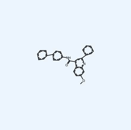 COc1ccc2c(C(=O)Nc3ccc(-c4ccccc4)cc3)cc(-c3ccccc3)nc2c1